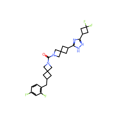 O=C(N1CC2(CC(Cc3ccc(F)cc3F)C2)C1)N1CC2(CC(c3nc(C4CC(F)(F)C4)n[nH]3)C2)C1